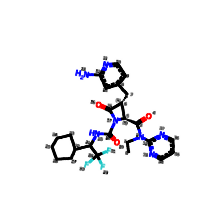 CCN(C(=O)[C@@H]1[C@@H](Cc2ccnc(N)c2)C(=O)N1C(=O)NC(C1CCCCC1)C(F)(F)F)c1ncccn1